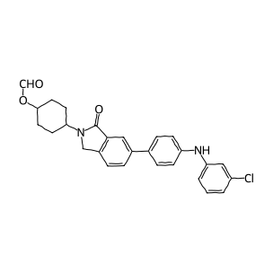 O=COC1CCC(N2Cc3ccc(-c4ccc(Nc5cccc(Cl)c5)cc4)cc3C2=O)CC1